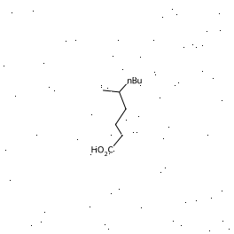 CCCCC(C)CCCC(=O)O